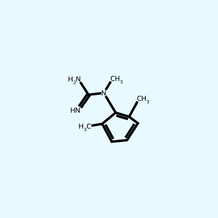 Cc1cccc(C)c1N(C)C(=N)N